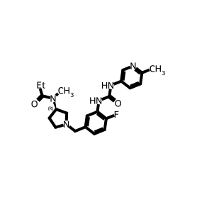 CCC(=O)N(C)[C@@H]1CCN(Cc2ccc(F)c(NC(=O)Nc3ccc(C)nc3)c2)C1